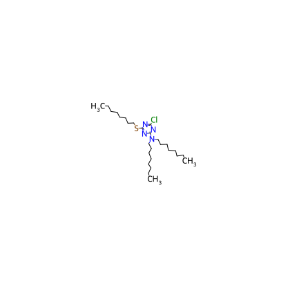 CCCCCCCCSc1nc(Cl)nc(N(CCCCCCCC)CCCCCCCC)n1